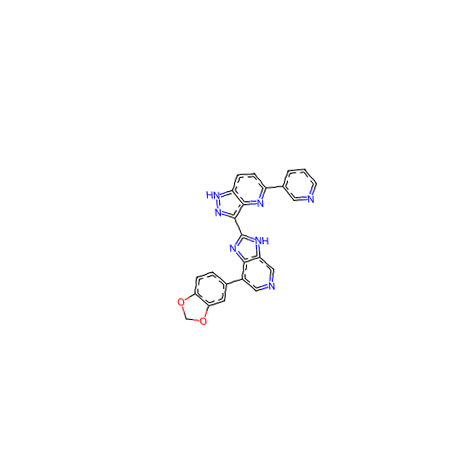 c1cncc(-c2ccc3[nH]nc(-c4nc5c(-c6ccc7c(c6)OCO7)cncc5[nH]4)c3n2)c1